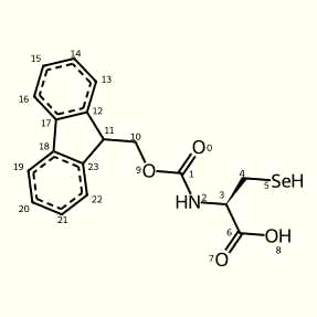 O=C(N[C@@H](C[SeH])C(=O)O)OCC1c2ccccc2-c2ccccc21